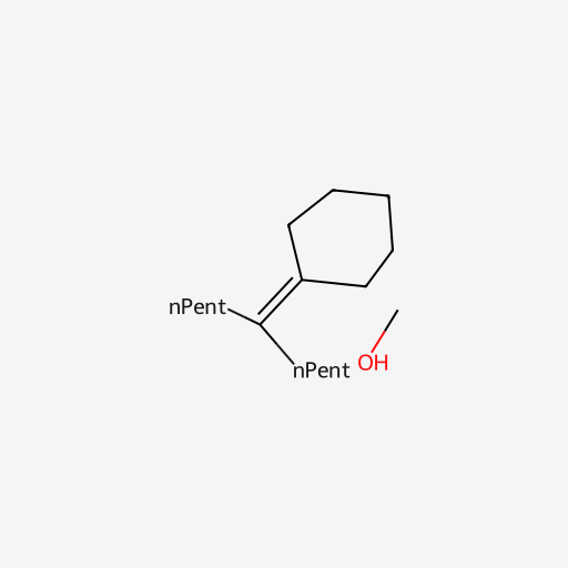 CCCCCC(CCCCC)=C1CCCCC1.CO